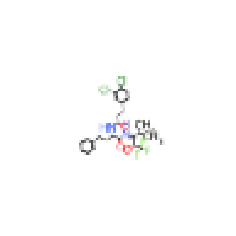 CC(C)[C@H](NC(=O)C(CCc1ccccc1)NC(=O)CCc1ccc(Cl)c(Cl)c1)C(=O)C(F)(F)F